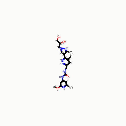 CCOc1cc(NC(=O)NCc2cc(C)c(-c3cn(CC(O)CO)nc3C(F)(F)F)nn2)cc(C(F)(F)F)n1